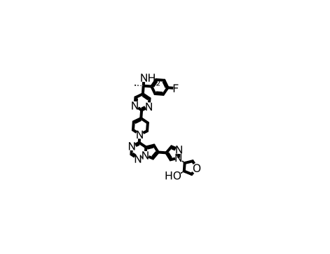 C[C@](N)(c1ccc(F)cc1)c1cnc(C2=CCN(c3ncnn4cc(-c5cnn([C@@H]6COC[C@@H]6O)c5)cc34)CC2)nc1